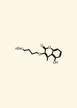 CCCCCCCCCCCCCCOc1c(C)c2c(O)cccc2oc1=O